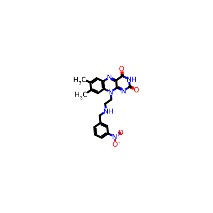 Cc1cc2nc3c(=O)[nH]c(=O)nc-3n(CCNCc3cccc([N+](=O)[O-])c3)c2cc1C